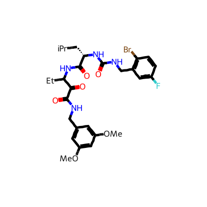 CCC(NC(=O)[C@H](CC(C)C)NC(=O)NCc1cc(F)ccc1Br)C(=O)C(=O)NCc1cc(OC)cc(OC)c1